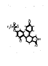 O=C1NCC2C1CCC(c1ccc(OS(=O)(=O)C(F)(F)F)cc1Cl)C2c1ccc(Cl)cc1